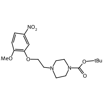 COc1ccc([N+](=O)[O-])cc1OCCN1CCN(C(=O)OC(C)(C)C)CC1